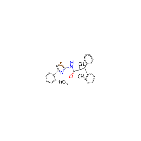 CC(C)(C(=O)Nc1nc(-c2ccccc2[N+](=O)[O-])cs1)C(c1ccccc1)c1ccccc1